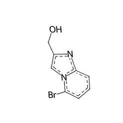 OCc1cn2c(Br)cccc2n1